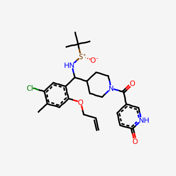 C=CCOc1cc(C)c(Cl)cc1C(N[S@@+]([O-])C(C)(C)C)C1CCN(C(=O)c2ccc(=O)[nH]c2)CC1